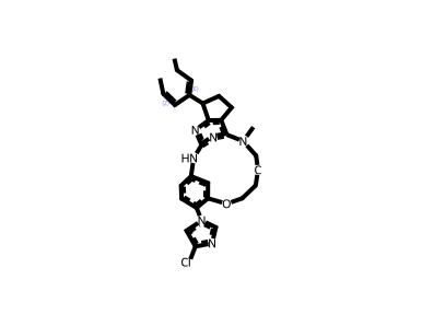 C/C=C\C(=C/CC)C1CCc2c1nc1nc2N(C)CCCCOc2cc(ccc2-n2cnc(Cl)c2)N1